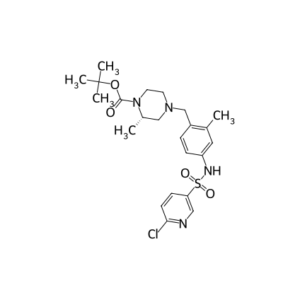 Cc1cc(NS(=O)(=O)c2ccc(Cl)nc2)ccc1CN1CCN(C(=O)OC(C)(C)C)[C@@H](C)C1